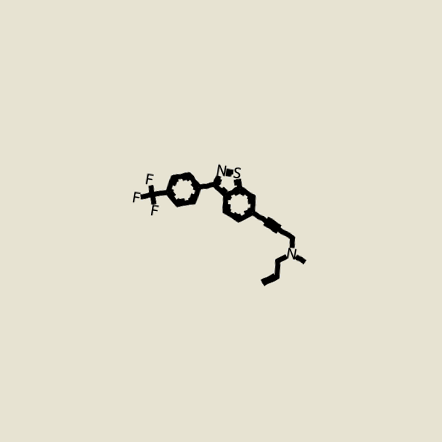 C=CCN(C)CC#Cc1ccc2c(-c3ccc(C(F)(F)F)cc3)nsc2c1